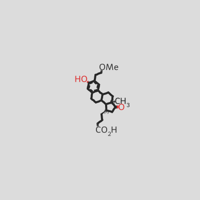 COCCc1cc2c(cc1O)CCC1C2CC[C@]2(C)C(=O)C[C@@H](CCCC(=O)O)C12